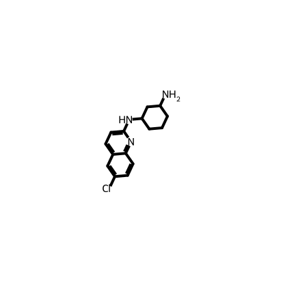 NC1CCCC(Nc2ccc3cc(Cl)ccc3n2)C1